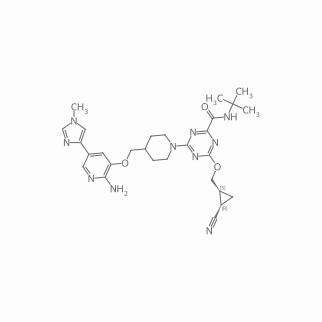 Cn1cnc(-c2cnc(N)c(OCC3CCN(c4nc(OC[C@H]5C[C@H]5C#N)nc(C(=O)NC(C)(C)C)n4)CC3)c2)c1